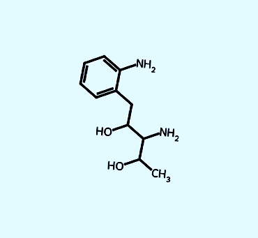 CC(O)C(N)C(O)Cc1ccccc1N